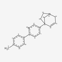 Cc1ccc(-c2ccc(C34C=CCN(CC3)C4)cn2)cc1